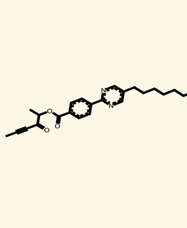 CC#CC(=O)C(C)OC(=O)c1ccc(-c2ncc(CCCCCCC)cn2)cc1